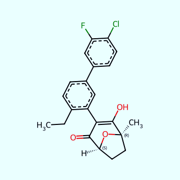 CCc1ccc(-c2ccc(Cl)c(F)c2)cc1C1=C(O)[C@@]2(C)CC[C@H](O2)C1=O